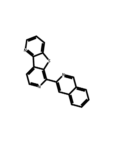 c1ccc2cc(-c3nccc4c3sc3cccnc34)ncc2c1